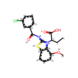 CCC(C(=O)O)n1/c(=N/C(=O)c2cccc(Cl)c2)sc2cccc(OC)c21